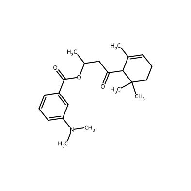 CC1=CCCC(C)(C)C1C(=O)CC(C)OC(=O)c1cccc(N(C)C)c1